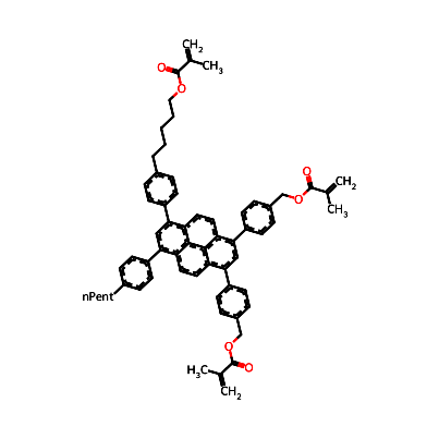 C=C(C)C(=O)OCCCCCc1ccc(-c2cc(-c3ccc(CCCCC)cc3)c3ccc4c(-c5ccc(COC(=O)C(=C)C)cc5)cc(-c5ccc(COC(=O)C(=C)C)cc5)c5ccc2c3c45)cc1